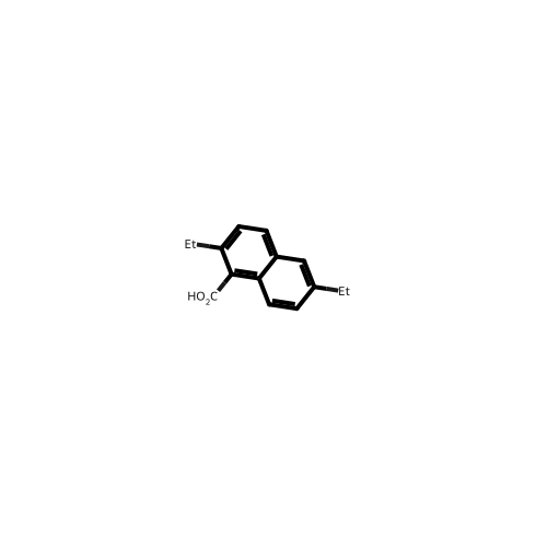 CCc1ccc2c(C(=O)O)c(CC)ccc2c1